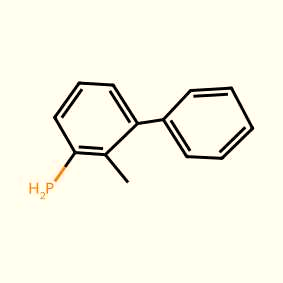 Cc1c(P)cccc1-c1ccccc1